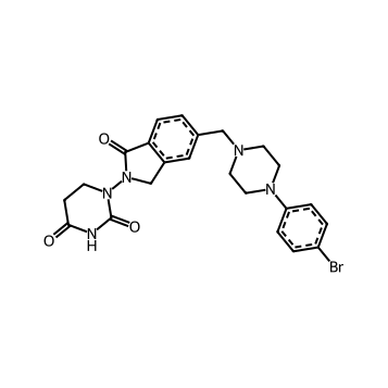 O=C1CCN(N2Cc3cc(CN4CCN(c5ccc(Br)cc5)CC4)ccc3C2=O)C(=O)N1